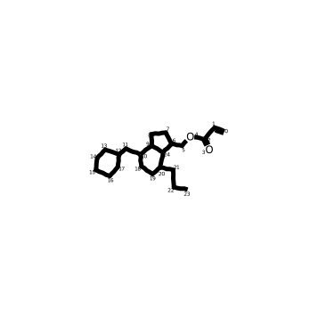 C=CC(=O)OCC1CCC2C(CC3CCCCC3)CCC(CCC)C12